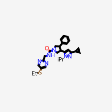 CCSc1cnc(CNC(=O)N2CC(c3ccccc3)C(c3cc(C4CC4)nn3C(C)C)C2)nc1